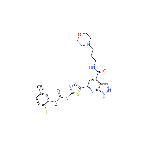 O=C(Nc1ncc(-c2cc(C(=O)NCCCN3CCOCC3)c3cn[nH]c3n2)s1)Nc1cc(C(F)(F)F)ccc1F